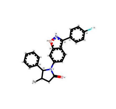 [2H]C1CC(=O)N(c2ccc3c(-c4ccc(F)cc4)noc3c2)C1c1ccccc1